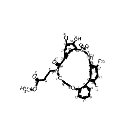 COC(=O)CCN1CCOc2ccccc2-c2cc(c(F)cc2F)NS(=O)(=O)c2cc(cc(Cl)c2O)C1=O